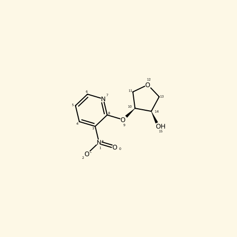 O=[N+]([O-])c1cccnc1O[C@H]1COC[C@H]1O